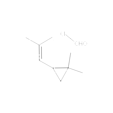 CC(C)=CC1CC1(C)C.O=CCl